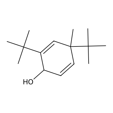 CC(C)(C)C1=CC(C)(C(C)(C)C)C=CC1O